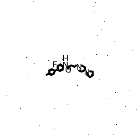 Cc1ccc(-c2ccc(NC(=O)CCCN3CCC(N4CCCCC4)CC3)cc2F)cc1